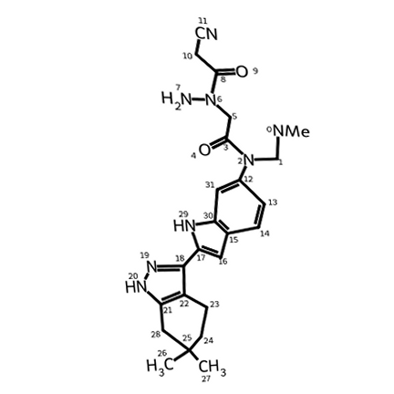 CNCN(C(=O)CN(N)C(=O)CC#N)c1ccc2cc(-c3n[nH]c4c3CCC(C)(C)C4)[nH]c2c1